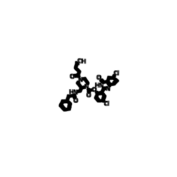 C#CCCC(=O)N1CCN(C(=O)Oc2ccc(Cl)cc2-c2nc3ccc(Cl)cc3c(=O)[nH]2)C(CNC(=O)Cc2ccccc2)C1